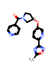 O=C(c1ccncc1)N1CC[C@@H](Oc2ccc(-c3noc(C(F)(F)F)n3)nc2)C1